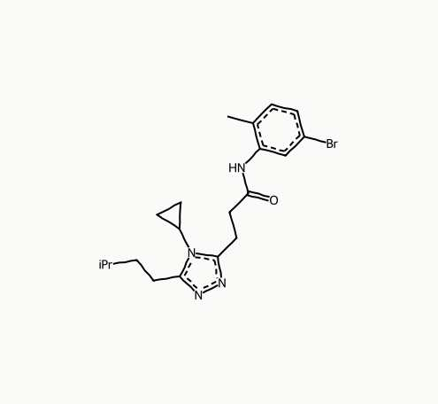 Cc1ccc(Br)cc1NC(=O)CCc1nnc(CCC(C)C)n1C1CC1